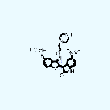 Cl.Cl.O=C1Nc2ccc([N+](=O)[O-])cc2/C1=C1/Nc2ccc(F)cc2/C1=N\OCCN1CCNCC1